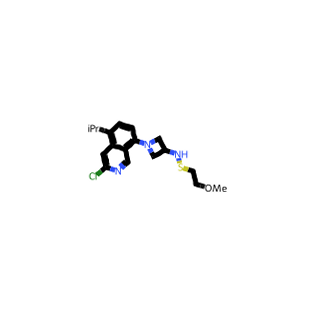 COCCSNC1CN(c2ccc(C(C)C)c3cc(Cl)ncc23)C1